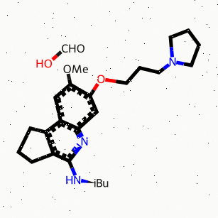 CC[C@H](C)Nc1nc2cc(OCCCN3CCCC3)c(OC)cc2c2c1CCC2.O=CO